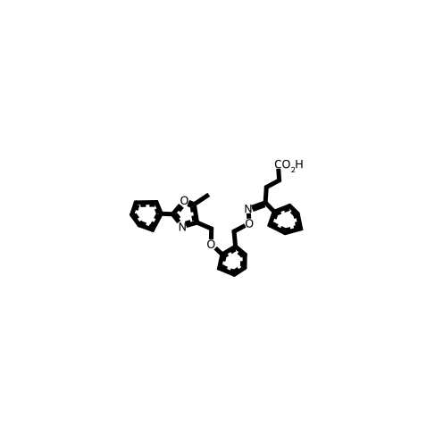 Cc1oc(-c2ccccc2)nc1COc1ccccc1CON=C(CCC(=O)O)c1ccccc1